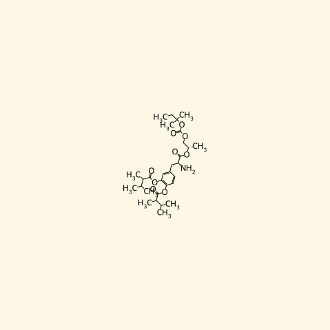 CCC(C)(C)OC(=O)OC[C@H](C)OC(=O)[C@@H](N)Cc1ccc(OC(=O)C(C)C(C)C)c(OC(=O)C(C)C(C)C)c1